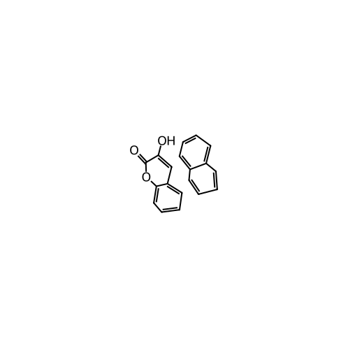 O=c1oc2ccccc2cc1O.c1ccc2ccccc2c1